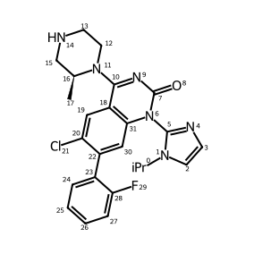 CC(C)n1ccnc1-n1c(=O)nc(N2CCNC[C@@H]2C)c2cc(Cl)c(-c3ccccc3F)cc21